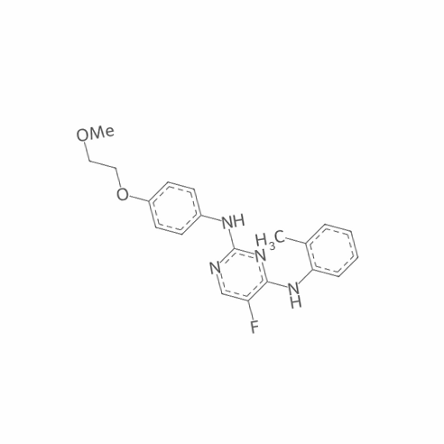 COCCOc1ccc(Nc2ncc(F)c(Nc3ccccc3C)n2)cc1